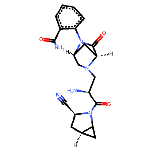 N#C[C@@H]1C[C@@H]2CC2N1C(=O)[C@@H](N)CN1C[C@@H]2C[C@H]1C(=O)N2c1ccccc1C(N)=O